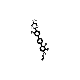 C=CCOc1ccc(-c2ccc(-c3ccc(C4OCC(CCC)CO4)c(F)c3)cc2)c(F)c1F